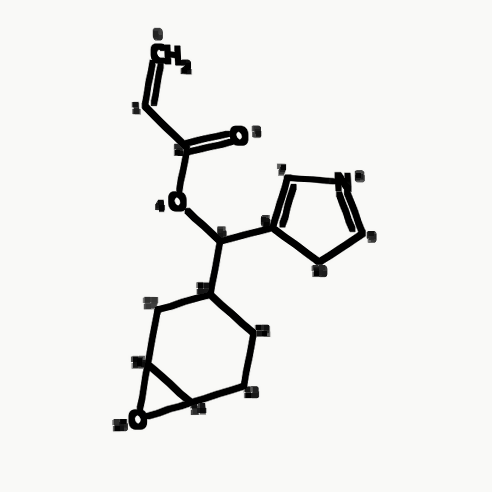 C=CC(=O)OC(C1=CN=CC1)C1CCC2OC2C1